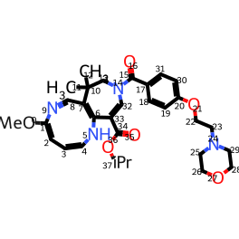 COc1ccc[nH]c2c(cn1)C(C)(C)CN(C(=O)c1ccc(OCCN3CCOCC3)cc1)C=C2C(=O)OC(C)C